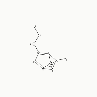 CCOc1cc2cc(C)c1o2